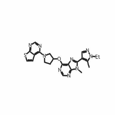 CCn1ncc(-c2nc3c(OC4CCN(c5ncnc6sccc56)C4)ncnc3n2C)c1C